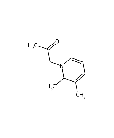 CC(=O)CN1C=CC=C(C)C1C